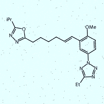 CCc1nnn(-c2ccc(OC)c(/C=C/CCCCc3nnc(C(C)C)o3)c2)n1